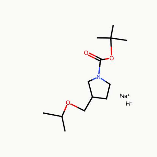 CC(C)OCC1CCN(C(=O)OC(C)(C)C)C1.[H-].[Na+]